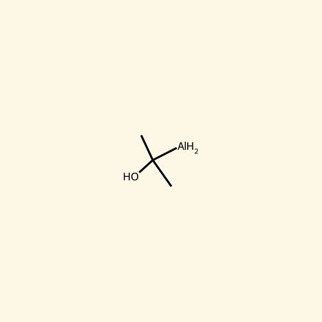 C[C](C)(O)[AlH2]